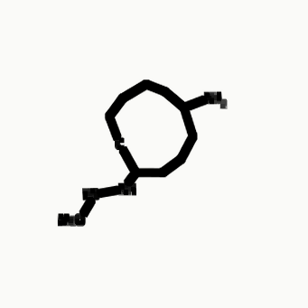 COBNC1CCCCCC(N)CCC1